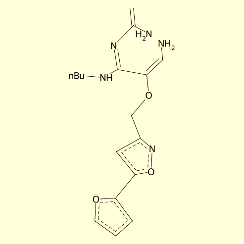 C=C(N)/N=C(NCCCC)\C(=C/N)OCc1cc(-c2ccco2)on1